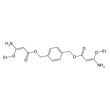 CCOC(N)=CC(=O)OCc1ccc(COC(=O)C=C(N)OCC)cc1